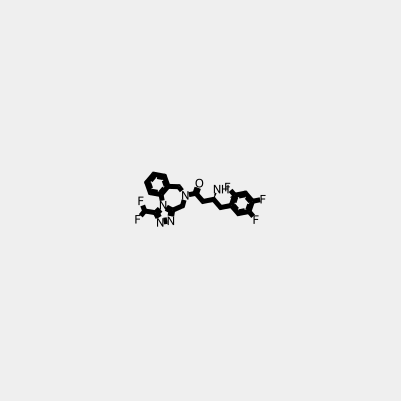 N[C@@H](CC(=O)N1Cc2ccccc2-n2c(nnc2C(F)F)C1)Cc1cc(F)c(F)cc1F